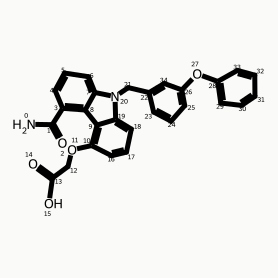 NC(=O)c1cccc2c1c1c(OCC(=O)O)cccc1n2Cc1cccc(Oc2ccccc2)c1